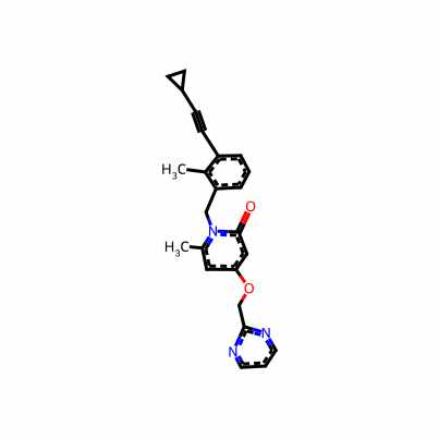 Cc1c(C#CC2CC2)cccc1Cn1c(C)cc(OCc2ncccn2)cc1=O